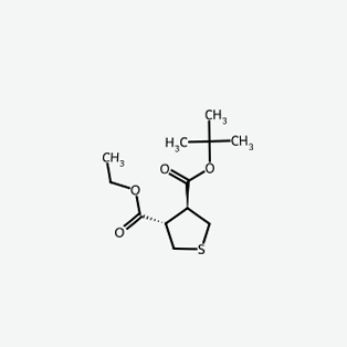 CCOC(=O)[C@H]1CSC[C@@H]1C(=O)OC(C)(C)C